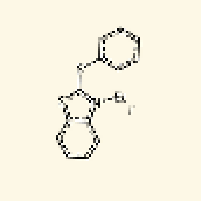 CC[n+]1c(Sc2ccccc2)sc2ccccc21.[I-]